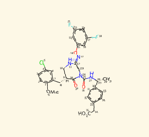 COc1ccc(Cl)cc1C[C@@H]1CN/C(=N\Oc2cc(F)cc(F)c2)CN(C(=O)N[C@H](C)c2ccc(CC(=O)O)cc2)C1=O